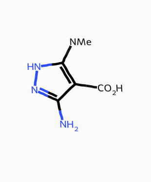 CNc1[nH]nc(N)c1C(=O)O